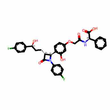 O=C(COc1ccc([C@@H]2[C@@H](CC[C@H](O)c3ccc(F)cc3)C(=O)N2c2ccc(F)cc2)c(O)c1)N[C@@H](C(=O)O)c1ccccc1